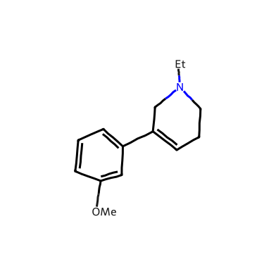 CCN1CCC=C(c2cccc(OC)c2)C1